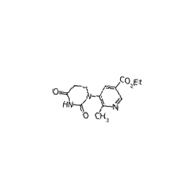 CCOC(=O)c1cnc(C)c(N2CCC(=O)NC2=O)c1